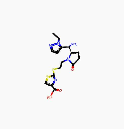 CCn1nccc1C(N)[C@H]1CCC(=O)N1CCSc1nc(C(=O)O)cs1